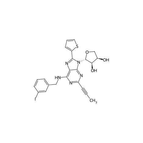 CC#Cc1nc(NCc2cccc(I)c2)c2nc(-c3cccs3)n([C@@H]3OC[C@@H](O)[C@H]3O)c2n1